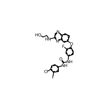 O=C(Nc1ccc(Cl)c(F)c1)Nc1ccc(Oc2ccc3ncc(NCCO)nc3c2)c(F)c1